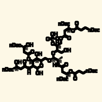 CCCCCCCCCCCCC(=O)O[C@H](CCCCCCCCCC)CC(=O)N[C@@H](C)[C@H](OCC1OC(O)C(NC(=O)C[C@H](O)CCCCCCCCCC)[C@@H](OC(=O)C[C@H](O)CCCCCCCCCC)[C@@H]1O)OC(CO)[C@H](COC(=O)C[C@@H](CCCCCCCCCC)OC(=O)CCCCCCCCCCCC)OP(=O)(O)O